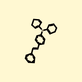 C1=CC(N(C2=CCCC=C2)c2ccc(/C=C/c3ccccc3)cc2)=CCC1